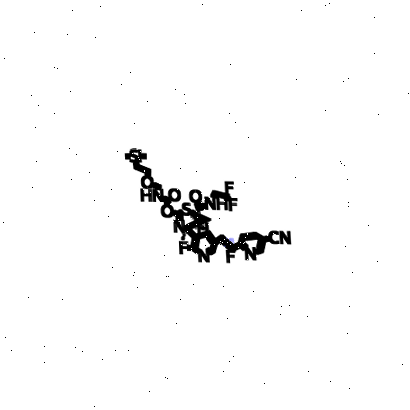 C[C@]1(c2cc(/C=C(\F)c3ccc(C#N)cn3)cnc2F)N=C(OC(=O)NCOCC[Si](C)(C)C)S[C@@]2(C(=O)NCC(F)F)C[C@H]21